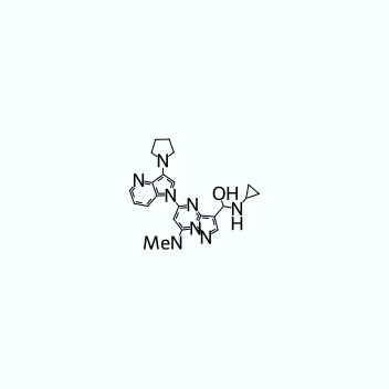 CNc1cc(-n2cc(N3CCCC3)c3ncccc32)nc2c(C(O)NC3CC3)cnn12